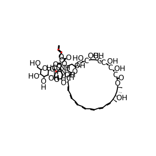 C=CCOC(=O)N[C@@H]1[C@H](O)[C@H](O[C@H]2/C=C/C=C/C=C/C=C/C=C/C=C/C=C/[C@H](C)[C@@H](O)[C@@H](C)[C@H](C)OC(=O)C[C@H](O)C[C@H](O)CC[C@@H](O)[C@H](O)C[C@H](O)C[C@]3(O)C[C@H](OC(=O)OCC=C)[C@@H](NC(=O)NO[C@@H]4OC(CO)[C@@H](O)C(O)C4O)[C@H](C2)O3)O[C@H](C)[C@H]1O